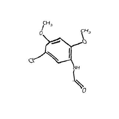 COc1cc(OC)c(N[C]=O)cc1Cl